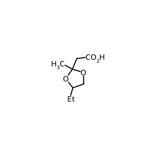 CCC1COC(C)(CC(=O)O)O1